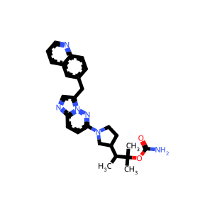 CC(C1CCN(c2ccc3ncc(Cc4ccc5ncccc5c4)n3n2)C1)C(C)(C)OC(N)=O